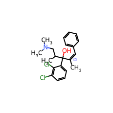 C/C(=C/c1ccccc1)C(O)(c1cccc(Cl)c1Cl)C(C)CN(C)C